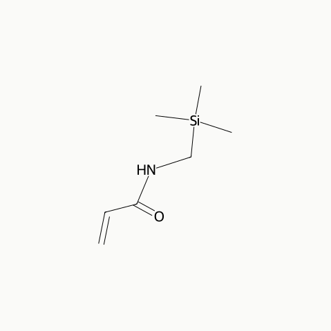 C=CC(=O)NC[Si](C)(C)C